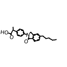 CCCCCc1ccc2c(c1)CN(c1ccc(C(C)C(=O)O)cc1)C2=O